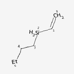 C=C[SiH2][CH]CCC